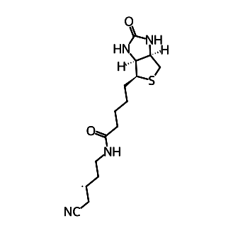 N#CC[CH]CCNC(=O)CCCC[C@@H]1SC[C@@H]2NC(=O)N[C@@H]21